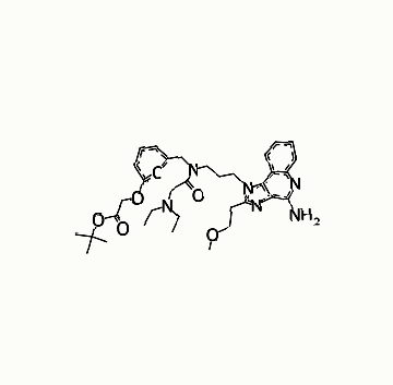 CCN(CC)CC(=O)N(CCCn1c(CCOC)nc2c(N)nc3ccccc3c21)Cc1cccc(OCC(=O)OC(C)(C)C)c1